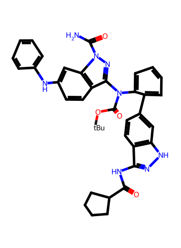 CC(C)(C)OC(=O)N(c1ccccc1-c1ccc2c(NC(=O)C3CCCC3)n[nH]c2c1)c1nn(C(N)=O)c2cc(Nc3ccccc3)ccc12